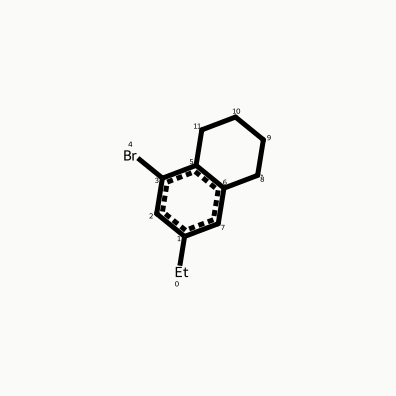 CCc1cc(Br)c2c(c1)[CH]CCC2